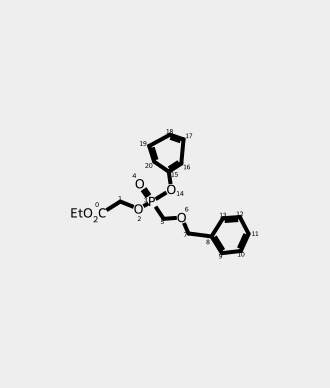 CCOC(=O)COP(=O)(COCc1ccccc1)Oc1ccccc1